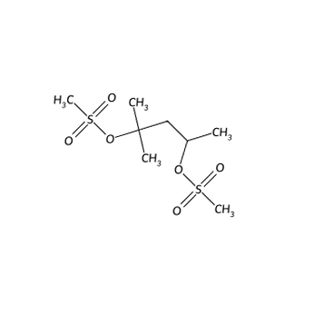 CC(CC(C)(C)OS(C)(=O)=O)OS(C)(=O)=O